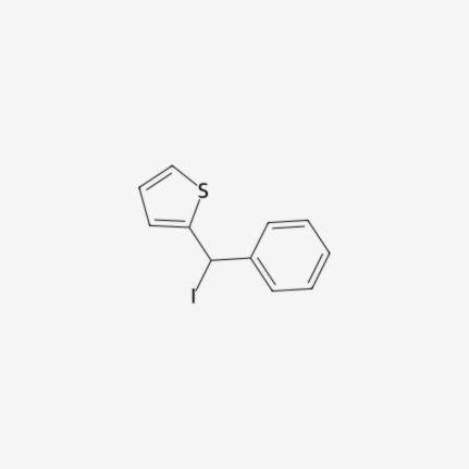 IC(c1ccccc1)c1cccs1